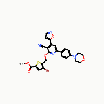 COC(=O)c1cc(Br)c(COc2nc(-c3ccc(N4CCOCC4)cc3)cc(-c3ccno3)c2C#N)s1